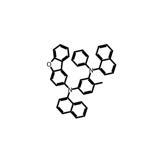 Cc1ccc(N(c2ccc3oc4ccccc4c3c2)c2cccc3ccccc23)cc1N(c1ccccc1)c1cccc2ccccc12